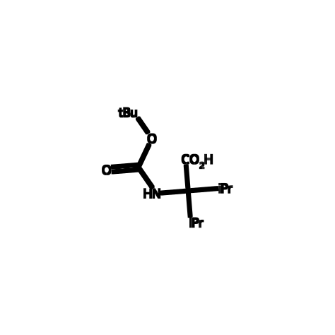 CC(C)C(NC(=O)OC(C)(C)C)(C(=O)O)C(C)C